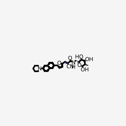 C[C@H]1C(O)O[C@H](CNC(=O)/C(C#N)=C/c2ccc(-c3ccc4cc(N5CCCCC5)ccc4c3)o2)[C@@H](O)[C@@H]1O